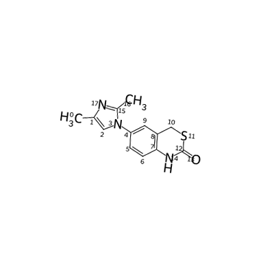 Cc1cn(-c2ccc3c(c2)CSC(=O)N3)c(C)n1